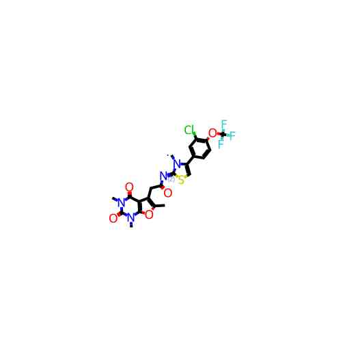 [CH2]n1c(-c2ccc(OC(F)(F)F)c(Cl)c2)cs/c1=N\C(=O)Cc1c(C)oc2c1c(=O)n(C)c(=O)n2C